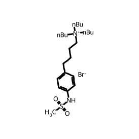 CCCC[N+](CCCC)(CCCC)CCCCc1ccc(NS(C)(=O)=O)cc1.[Br-]